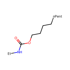 CCCCCCCCCOC(=O)NCC